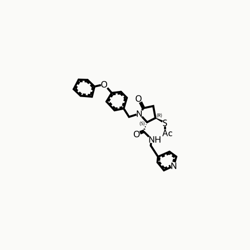 CC(=O)S[C@@H]1CC(=O)N(Cc2ccc(Oc3ccccc3)cc2)[C@H]1C(=O)NCc1ccncc1